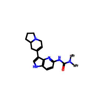 CCCN(CCC)C(=O)Nc1ccc2[nH]cc(C3=CCN4CCCC4C3)c2n1